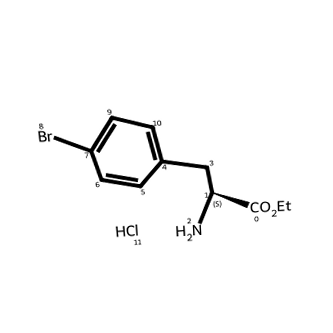 CCOC(=O)[C@@H](N)Cc1ccc(Br)cc1.Cl